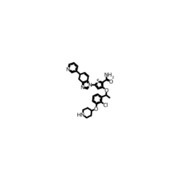 CC(Oc1cc(-n2cnc3c2C=CC(c2cccnc2)C3)sc1C(N)=O)c1cccc(OC2CCNCC2)c1Cl